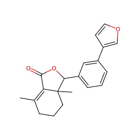 CC1=C2C(=O)OC(c3cccc(-c4ccoc4)c3)C2(C)CCC1